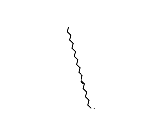 [CH2]CCCCCC=CCCCCCCCCCCCCC